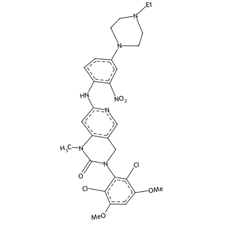 CCN1CCN(c2ccc(Nc3cc4c(cn3)CN(c3c(Cl)c(OC)cc(OC)c3Cl)C(=O)N4C)c([N+](=O)[O-])c2)CC1